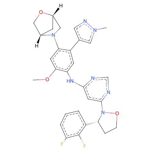 COc1cc(N2C[C@@H]3C[C@H]2CO3)c(-c2cnn(C)c2)cc1Nc1cc(N2OCC[C@@H]2c2cccc(F)c2F)ncn1